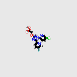 COC(=O)COc1nc(-c2ccc(F)cn2)n(-c2ccc(Cl)cn2)n1